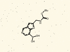 CC(C)(C)OC(=O)NCc1cc2cncc(B(O)O)c2s1